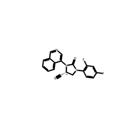 N#C[C@H]1CN(c2ccc(F)cc2F)C(=O)N1c1cncc2ccccc12